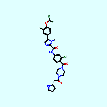 Cn1c(-c2ccc(OC(F)F)c(F)c2)cnc1C(=O)Nc1ccc(C(=O)N2CCN(C(=O)C[C@@H]3CCCN3)CC2)c(Cl)c1